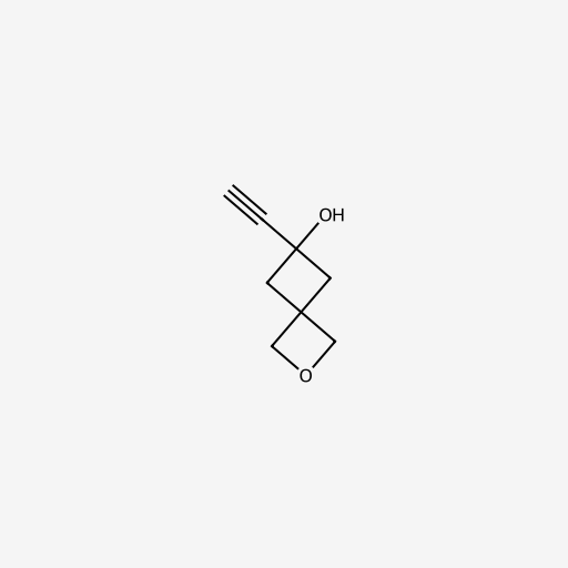 C#CC1(O)CC2(COC2)C1